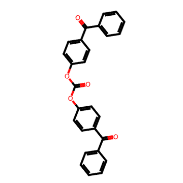 O=C(Oc1ccc(C(=O)c2ccccc2)cc1)Oc1ccc(C(=O)c2ccccc2)cc1